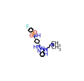 CN(C)CCCNc1nc(NC[C@H]2CC[C@H](CNS(=O)(=O)c3ccc(F)cc3)CC2)nc2ccccc12